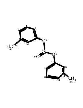 Cc1cccc(OS(=O)Oc2cccc(C)c2)c1